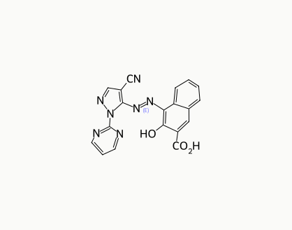 N#Cc1cnn(-c2ncccn2)c1/N=N/c1c(O)c(C(=O)O)cc2ccccc12